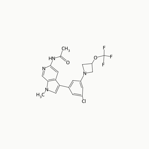 CC(=O)Nc1cc2c(-c3cc(Cl)cc(N4CC(OC(F)(F)F)C4)c3)cn(C)c2cn1